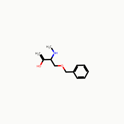 C=C(O)C(COCc1ccccc1)NC